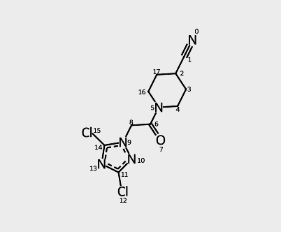 N#CC1CCN(C(=O)Cn2nc(Cl)nc2Cl)CC1